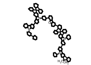 CC1(C)c2ccccc2-c2cc3c4cc(-c5ccc6c(c5)c5ccc7c(c5n6-c5ccccc5)-c5ccccc5C75c6ccccc6-c6c(-c7ccc8oc9c(-c%10ccc(-n%11c%12ccc(-c%13ccc%14c(c%13)c%13ccccc%13n%14-c%13cccc(-c%14ccccc%14)c%13)cc%12c%12cc%13c(cc%12%11)C%11(c%12ccccc%12-c%12ccccc%12%11)c%11ccccc%11-%13)cc%10)cccc9c8c7)cccc65)ccc4n(-c4ccccc4)c3cc21